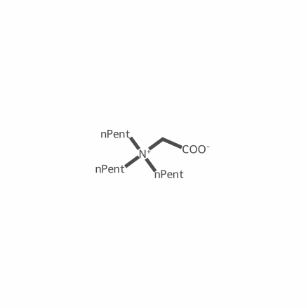 CCCCC[N+](CCCCC)(CCCCC)CC(=O)[O-]